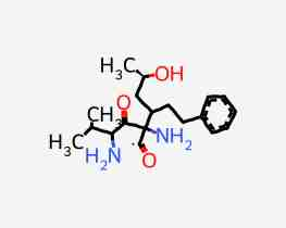 CC(C)C(N)C(=O)C(N)([C]=O)C(CCc1ccccc1)C[C@@H](C)O